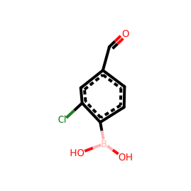 O=Cc1ccc(B(O)O)c(Cl)c1